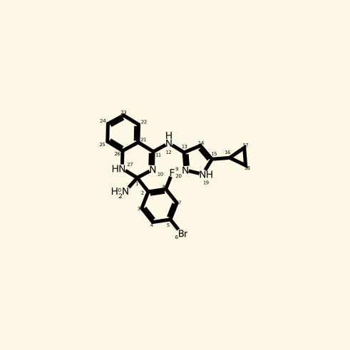 NC1(c2ccc(Br)cc2F)N=C(Nc2cc(C3CC3)[nH]n2)c2ccccc2N1